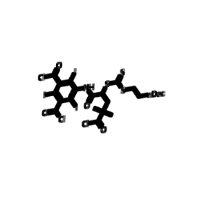 CCCCCCCCCCCCSC(=S)SC(CC(C)(C)C(=O)Cl)C(=O)Nc1c(I)c(C(=O)Cl)c(I)c(C(=O)Cl)c1I